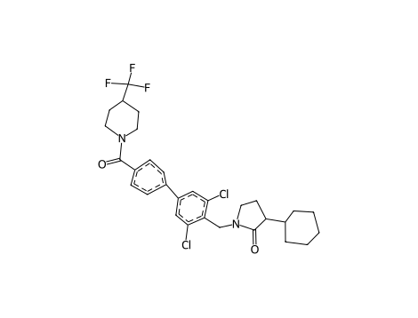 O=C(c1ccc(-c2cc(Cl)c(CN3CCC(C4CCCCC4)C3=O)c(Cl)c2)cc1)N1CCC(C(F)(F)F)CC1